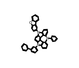 c1ccc(-c2cccc(-n3c4ccc5c6c4c4c3cccc4n(-c3ccccc3)c3cccc(c63)n5-c3ccc4oc5ccccc5c4c3)c2)cc1